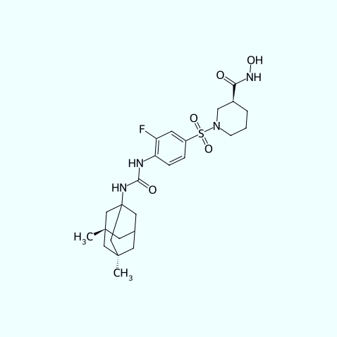 C[C@]12CC3CC(NC(=O)Nc4ccc(S(=O)(=O)N5CCC[C@H](C(=O)NO)C5)cc4F)(C1)C[C@@](C)(C3)C2